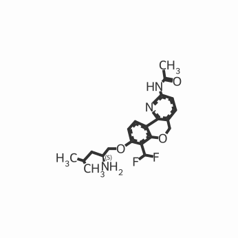 CC(=O)Nc1ccc2c(n1)-c1ccc(OC[C@@H](N)CC(C)C)c(C(F)F)c1OC2